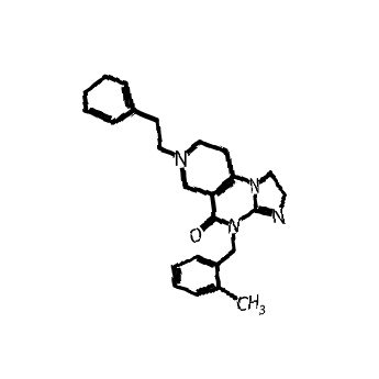 Cc1ccccc1CN1C(=O)C2=C(CCN(CCC3=CCCC=C3)C2)N2CCN=C12